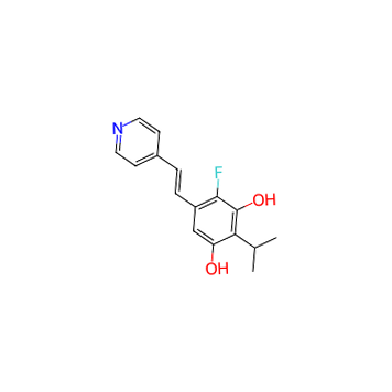 CC(C)c1c(O)cc(C=Cc2ccncc2)c(F)c1O